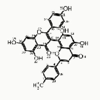 Cc1ccc(-c2cc(=O)c3c(O)cc(O)c(-c4c(-c5ccc(O)cc5)oc5cc(O)cc(O)c5c4=O)c3o2)cc1